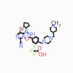 CN1CCC(CN2CCN(Cc3ccc(C(=O)NN(c4nc(C#N)ncc4Br)C4CCCC4)cc3)CC2)CC1.O=C(O)C(F)(F)F